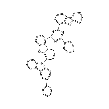 C1=CC(n2c3ccccc3c3cc(-c4ccccc4)ccc32)=C2Oc3cccc(-c4nc(-c5ccccc5)nc(-c5cccc6c5oc5ccccc56)n4)c3C2C1